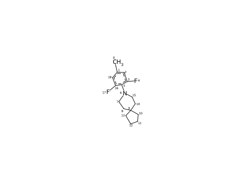 Cc1cc(F)c(N2CCC3(CCCC3)CC2)c(F)c1